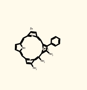 NC1=Cc2cc3ccc(cc4nc(cc5c(-c6ccccc6)c(N)c(c(N)c1n2)n5N)C=C4)[nH]3.[Zn]